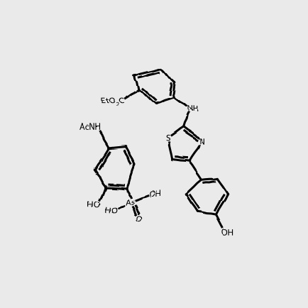 CC(=O)Nc1ccc([As](=O)(O)O)c(O)c1.CCOC(=O)c1cccc(Nc2nc(-c3ccc(O)cc3)cs2)c1